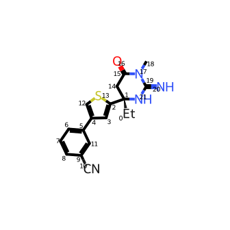 CC[C@@]1(c2cc(-c3cccc(C#N)c3)cs2)CC(=O)N(C)C(=N)N1